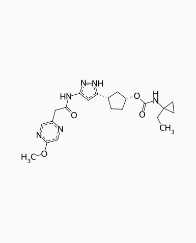 CCC1(NC(=O)O[C@@H]2CC[C@H](c3cc(NC(=O)Cc4cnc(OC)cn4)n[nH]3)C2)CC1